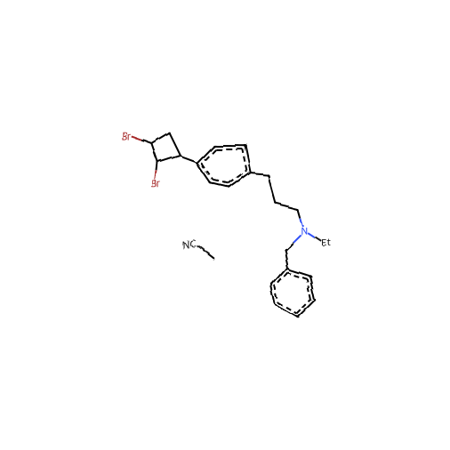 CC#N.CCN(CCCc1ccc(C2CC(Br)C2Br)cc1)Cc1ccccc1